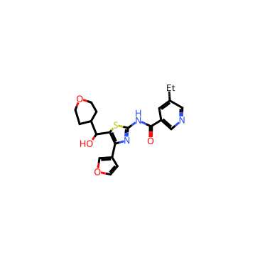 CCc1cncc(C(=O)Nc2nc(-c3ccoc3)c(C(O)C3CCOCC3)s2)c1